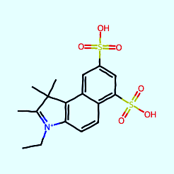 CC[N+]1=C(C)C(C)(C)c2c1ccc1c(S(=O)(=O)O)cc(S(=O)(=O)O)cc21